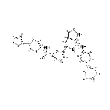 O=C(Nc1ccc(-c2c[nH]cn2)cc1)c1cccc(-c2cn3ccnc3c(Nc3ccc(N4CCOCC4)cc3)n2)c1